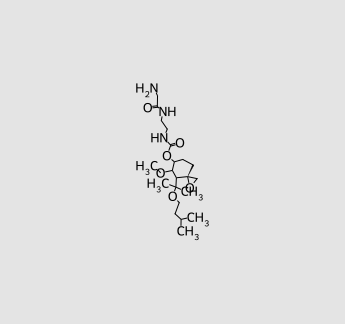 COC1C(OC(=O)NCCNC(=O)CN)CC[C@]2(CO2)C1C(C)(C)OCCC(C)C